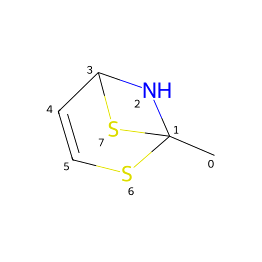 CC12NC(C=CS1)S2